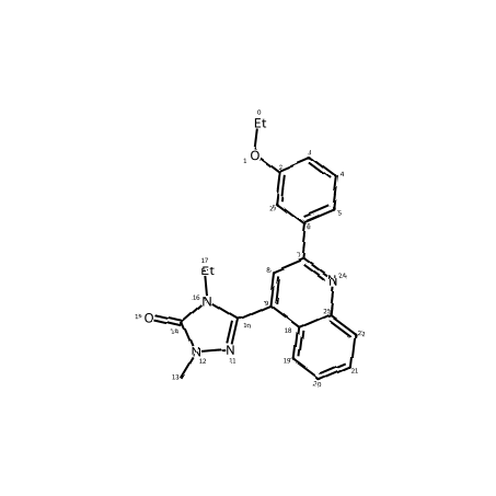 CCOc1cccc(-c2cc(-c3nn(C)c(=O)n3CC)c3ccccc3n2)c1